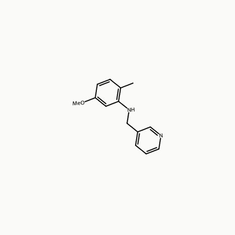 COc1ccc(C)c(NCc2cccnc2)c1